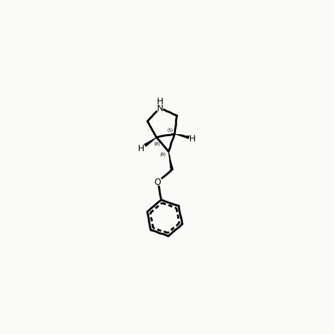 c1ccc(OC[C@H]2[C@@H]3CNC[C@@H]32)cc1